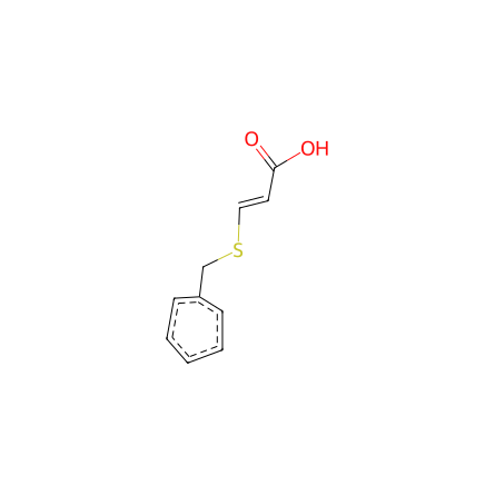 O=C(O)/C=C/SCc1ccccc1